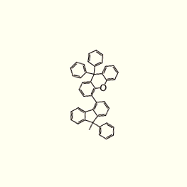 CC1(c2ccccc2)c2ccccc2-c2c(-c3cccc4c3Oc3ccccc3C4(c3ccccc3)c3ccccc3)cccc21